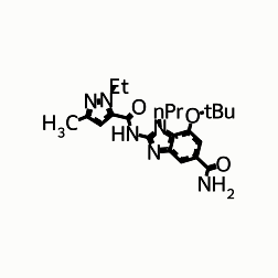 CCCn1c(NC(=O)c2cc(C)nn2CC)nc2cc(C(N)=O)cc(OC(C)(C)C)c21